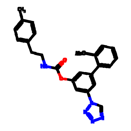 COc1ccccc1-c1cc(OC(=O)NCCc2ccc(C)cc2)cc(-n2cnnn2)c1